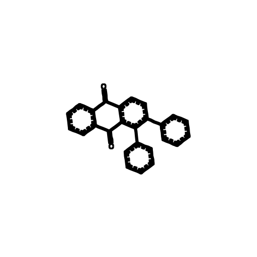 O=C1c2ccccc2C(=O)c2c1ccc(-c1ccccc1)c2-c1ccccc1